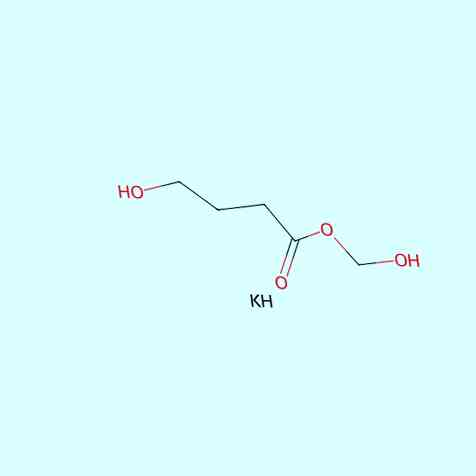 O=C(CCCO)OCO.[KH]